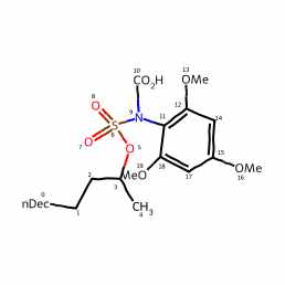 CCCCCCCCCCCCC(C)OS(=O)(=O)N(C(=O)O)c1c(OC)cc(OC)cc1OC